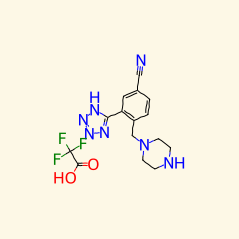 N#Cc1ccc(CN2CCNCC2)c(-c2nnn[nH]2)c1.O=C(O)C(F)(F)F